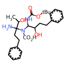 CC(O)C(N)(CCc1ccccc1)N(C(=O)O)C(NC(=O)OC(C)(C)C)C(O)CCc1ccccc1